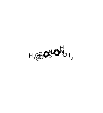 CNc1ccc(-c2nc3ccc(OS(C)(=O)=O)cc3s2)cc1